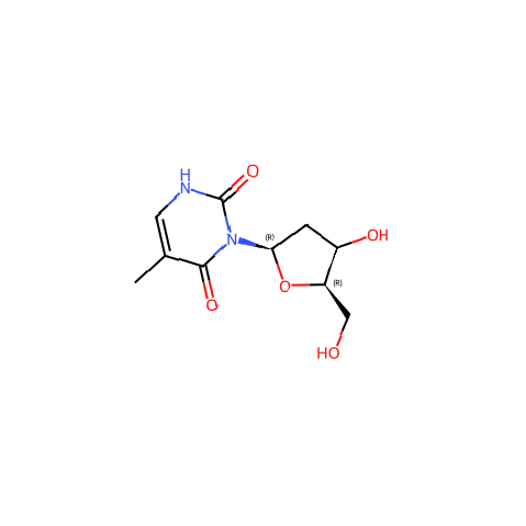 Cc1c[nH]c(=O)n([C@H]2CC(O)[C@@H](CO)O2)c1=O